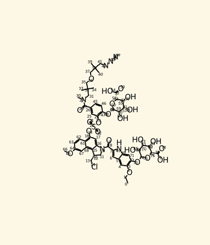 CCOc1cc2cc(C(=O)N3C[C@@H](CCl)c4c3cc(OS(=O)(=O)Oc3cc(C(=O)N(C)CC(C)(C)COCC(C)(C)CN=[N+]=[N-])ccc3O[C@@H]3O[C@H](C(=O)O)[C@@H](O)[C@H](O)[C@H]3O)c3ccc(OC)cc43)[nH]c2cc1OC1O[C@H](C(=O)O)[C@@H](O)[C@H](O)[C@H]1O